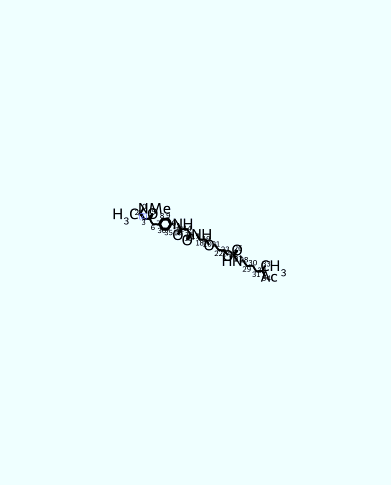 CN/C(C)=C\C(=O)Cc1ccc(NC(=O)CC(=O)NCCOCCCOC(=O)NCCCCC(C)C(C)=O)cc1